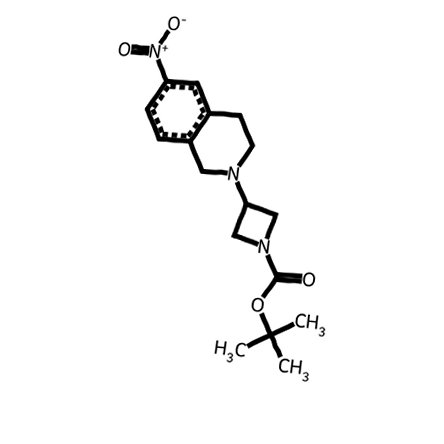 CC(C)(C)OC(=O)N1CC(N2CCc3cc([N+](=O)[O-])ccc3C2)C1